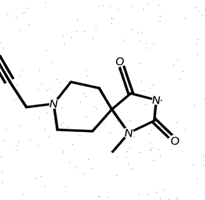 C#CCN1CCC2(CC1)C(=O)[N]C(=O)N2C